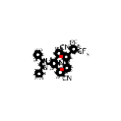 N#Cc1ccc(-c2cc(-c3nc(-c4ccccc4)cc(-c4ccccc4)n3)cc(-c3ccc(C#N)cc3)c2-n2c3ccccc3c3cc(-c4cc(C(F)(F)F)cc(C(F)(F)F)c4)ccc32)cc1